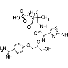 CC1(C)[C@H](NC(=O)/C(=N\OC(CO)COc2ccc(C(=N)N)cc2)c2csc(N)n2)C(=O)N1OS(=O)(=O)O